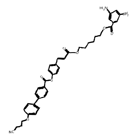 N#CCCCOc1ccc(-c2ccc(C(=O)Oc3ccc(/C=C/C(=O)OCCCCCCOC(=O)c4cc(N)cc(N)c4)cc3)cc2)cc1